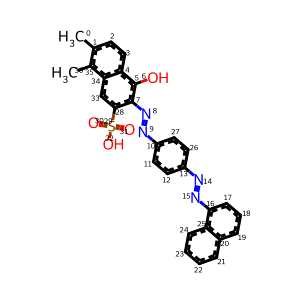 Cc1ccc2c(O)c(N=Nc3ccc(N=Nc4cccc5ccccc45)cc3)c(S(=O)(=O)O)cc2c1C